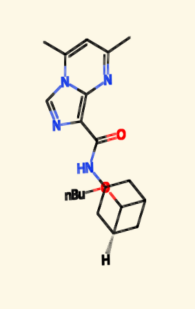 CCCCOC1C2CC(NC(=O)c3ncn4c(C)cc(C)nc34)C[C@@H]1C2